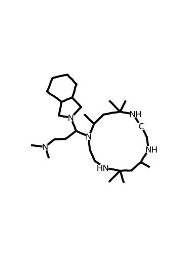 CC1CC(C)(C)NCCN(C(CCN(C)C)N2CC3CCCCC3C2)C(C)CC(C)(C)NCCN1